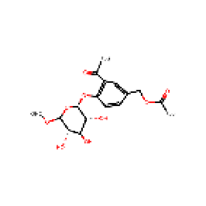 CC(C)(C)C(=O)OCc1ccc(O[C@@H]2OC(OC=O)[C@@H](O)[C@H](O)[C@H]2O)c(C(=O)C(C)(C)C)c1